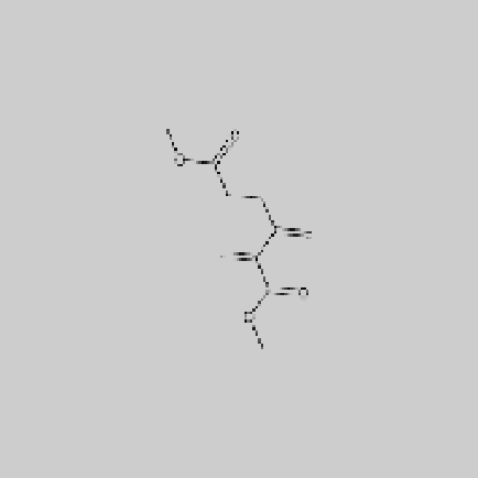 C=C(CCC(=O)OC)C(=C)C(=O)OC